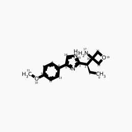 CC[C@@H](c1nc(-c2ccc(OC)cc2)c[nH]1)C1(N)COC1